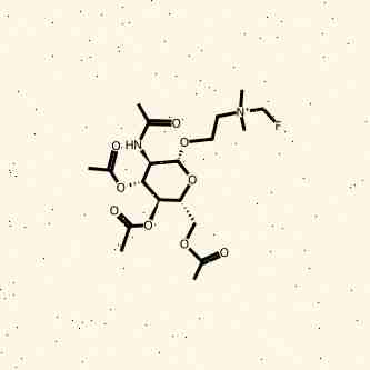 CC(=O)N[C@H]1[C@H](OCC[N+](C)(C)CF)O[C@H](COC(C)=O)[C@@H](OC(C)=O)[C@@H]1OC(C)=O